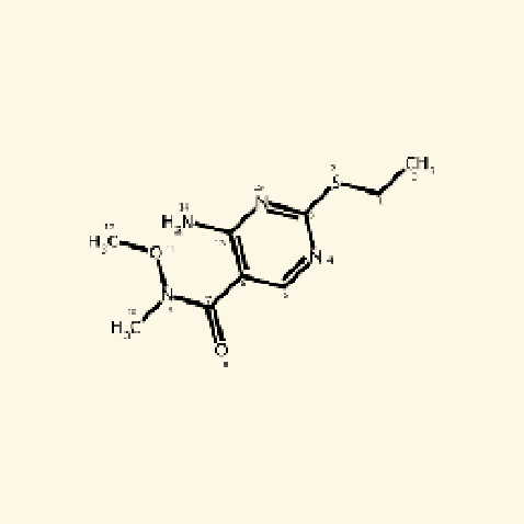 CCSc1ncc(C(=O)N(C)OC)c(N)n1